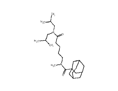 CC(C)CN(CC(C)C)C(=O)CCCCN(C)C(=O)C12CC3CC(CC(C3)C1)C2